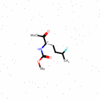 COC(=O)[C@H](CCC(C)F)NC(=O)OC(C)(C)C